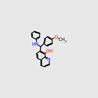 COc1ccc(C(Nc2ccccc2)c2ccc3cccnc3c2O)cc1